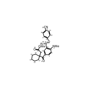 CNc1ccc(C(=O)C2(CC(=O)OC)CCCCC2)cc1N(Oc1ccc(C#N)cc1)C(C)=O